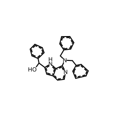 OC(c1ccccc1)c1cc2ccnc(N(Cc3ccccc3)Cc3ccccc3)c2[nH]1